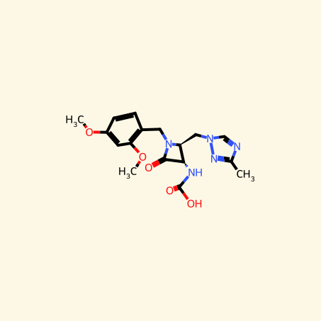 COc1ccc(CN2C(=O)[C@@H](NC(=O)O)[C@@H]2Cn2cnc(C)n2)c(OC)c1